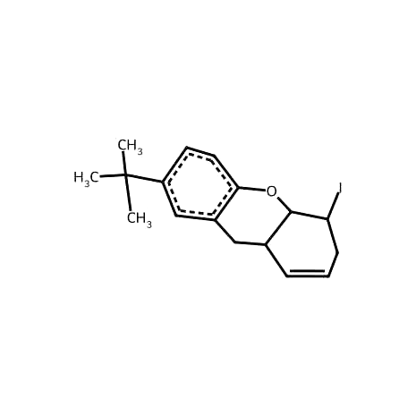 CC(C)(C)c1ccc2c(c1)CC1C=CCC(I)C1O2